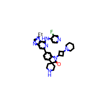 CCn1cnc2cc(-c3ccc4c(c3)N(C3CC(N5CCCCC5)C3)C(=O)C43CCNCC3)nc(Nc3ccncc3F)c21